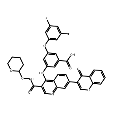 O=C(O)c1cc(Nc2c(C(=O)NOC3CCCCO3)cnc3cc(-c4coc5ccccc5c4=O)ccc23)cc(Oc2cc(F)cc(F)c2)c1